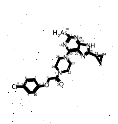 O=C(COc1ccc(Cl)cc1)N1CCN(c2nc([AsH2])nc3[nH]c(C4CC4)nc23)CC1